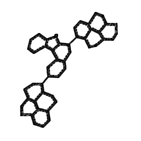 c1cc2ccc3ccc(-c4ccc5cc(-c6ccc7ccc8cccc9ccc6c7c89)c6oc7ccccc7c6c5c4)c4ccc(c1)c2c34